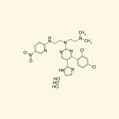 CN(C)CCN(CCNc1ccc([N+](=O)[O-])cn1)c1ncc(-c2ncc[nH]2)c(-c2ccc(Cl)cc2Cl)n1.Cl.Cl.Cl